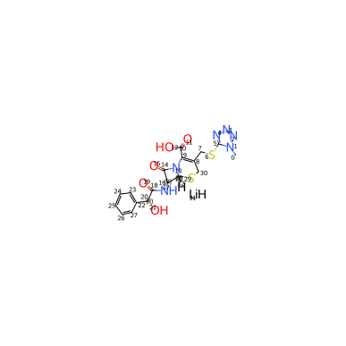 Cn1nnnc1SCC1=C(C(=O)O)N2C(=O)[C@@H](NC(=O)[C@H](O)c3ccccc3)[C@H]2SC1.[LiH]